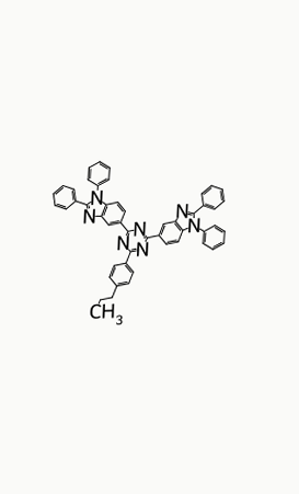 CCCc1ccc(-c2nc(-c3ccc4c(c3)nc(-c3ccccc3)n4-c3ccccc3)nc(-c3ccc4c(c3)nc(-c3ccccc3)n4-c3ccccc3)n2)cc1